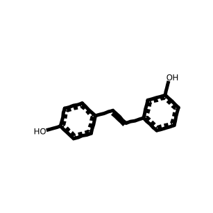 Oc1ccc(/C=C/c2cccc(O)c2)cc1